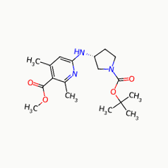 COC(=O)c1c(C)cc(N[C@@H]2CCN(C(=O)OC(C)(C)C)C2)nc1C